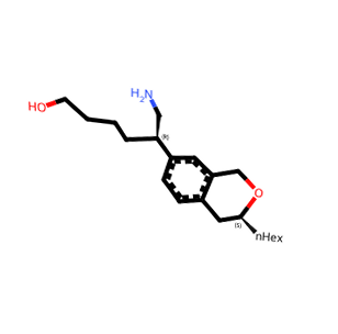 CCCCCC[C@H]1Cc2ccc([C@H](CN)CCCCO)cc2CO1